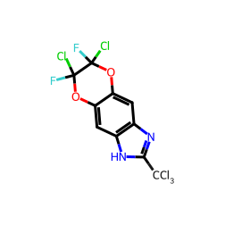 FC1(Cl)Oc2cc3nc(C(Cl)(Cl)Cl)[nH]c3cc2OC1(F)Cl